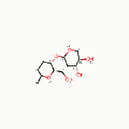 CC1CC[C@H](OC2C[C@@H](O)[C@H](O)CO2)[C@@H](CO)O1